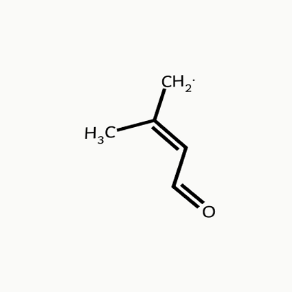 [CH2]C(C)=CC=O